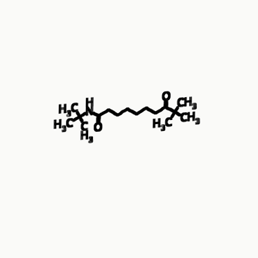 CC(C)(C)NC(=O)CCCCCCC(=O)C(C)(C)C